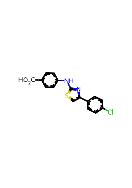 O=C(O)c1ccc(Nc2nc(-c3ccc(Cl)cc3)cs2)cc1